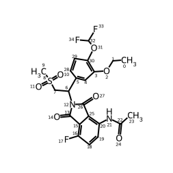 CCOc1cc(C(CS(C)(=O)=O)N2C(=O)c3c(F)ccc(NC(C)=O)c3C2=O)ccc1OC(F)F